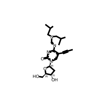 CC#Cc1cn([C@H]2C[C@H](O)[C@@H](CO)O2)c(=O)nc1N=CN(CC(C)C)CC(C)C